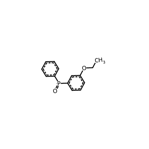 CCOc1cccc([P](=O)c2ccccc2)c1